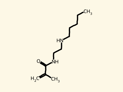 C=C(C)C(=O)NCCNCCCCC